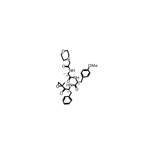 COc1ccc(C[C@H](NC(=O)[C@H](C)NC(=O)CN2CCOCC2)C(=O)N[C@@H](Cc2ccccc2)C(=O)C2(C)CO2)cc1